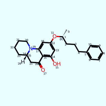 C[C@H](CCCc1ccccc1)Oc1cc(O)c2c(c1)N1CCCC[C@H]1CC2=O